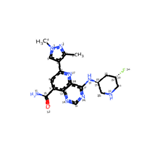 Cc1nn(C)cc1-c1cc(C(N)=O)c2ncnc(N[C@@H]3CNC[C@@H](F)C3)c2n1